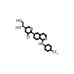 OC[C@@H](O)c1cnc(-c2ccc3c(Nc4ccc(C(F)(F)F)cc4)nccc3c2)c(Cl)c1